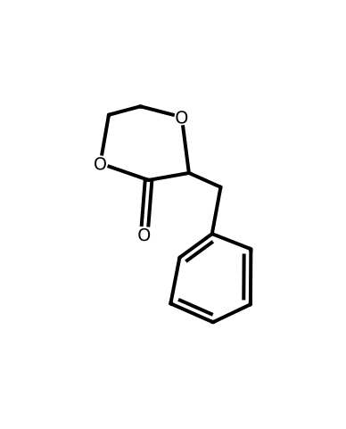 O=C1OCCOC1Cc1ccccc1